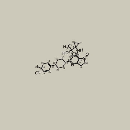 CC(C)(O)C1(Nc2nc(N3CCC(C4=CC[C@](Cl)(I)C=C4)CC3)nc3c2[S+]([O-])CC3)CC1